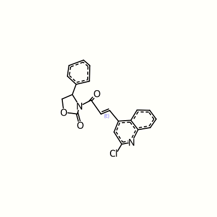 O=C(/C=C/c1cc(Cl)nc2ccccc12)N1C(=O)OCC1c1ccccc1